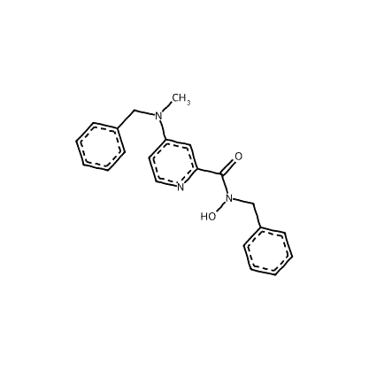 CN(Cc1ccccc1)c1ccnc(C(=O)N(O)Cc2ccccc2)c1